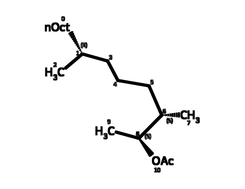 CCCCCCCC[C@@H](C)CCC[C@H](C)[C@H](C)OC(C)=O